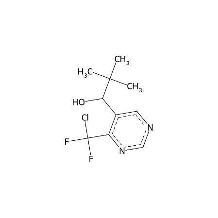 CC(C)(C)C(O)c1cncnc1C(F)(F)Cl